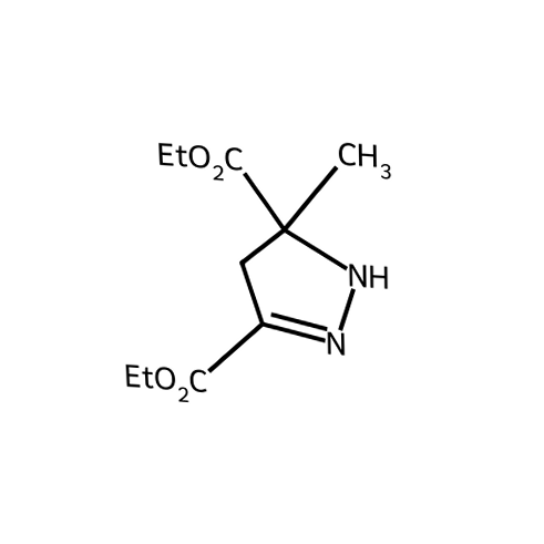 CCOC(=O)C1=NNC(C)(C(=O)OCC)C1